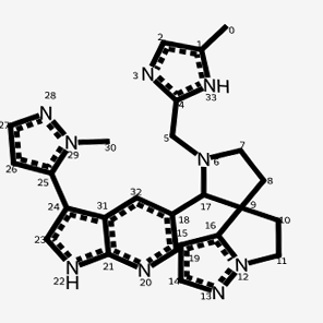 Cc1cnc(CN2CCC3(CCn4nccc43)C2c2cnc3[nH]cc(-c4ccnn4C)c3c2)[nH]1